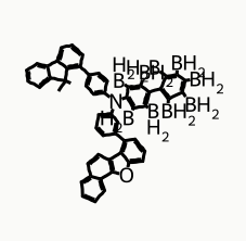 Bc1c(B)c(B)c(-c2c(B)c(B)c(N(c3ccc(-c4cccc5c4C(C)(C)c4ccccc4-5)cc3)c3cccc(-c4cccc5oc6c7ccccc7ccc6c45)c3)c(B)c2B)c(B)c1B